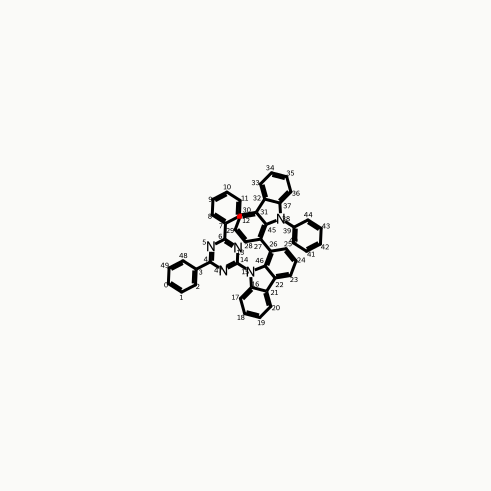 c1ccc(-c2nc(-c3ccccc3)nc(-n3c4ccccc4c4cccc(-c5cccc6c7ccccc7n(-c7ccccc7)c56)c43)n2)cc1